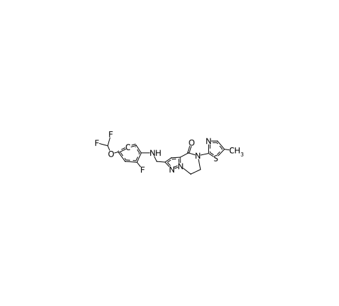 Cc1cnc(N2CCn3nc(CNc4ccc(OC(F)F)cc4F)cc3C2=O)s1